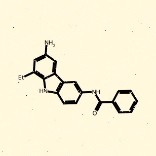 CCc1cc(N)cc2c1[nH]c1ccc(NC(=O)c3ccccc3)cc12